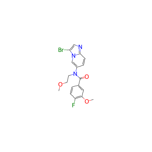 COCCN(C(=O)c1ccc(F)c(OC)c1)c1ccc2ncc(Br)n2c1